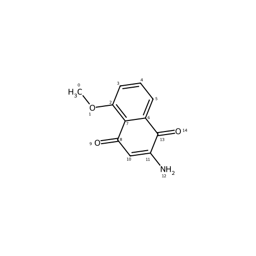 COc1cccc2c1C(=O)C=C(N)C2=O